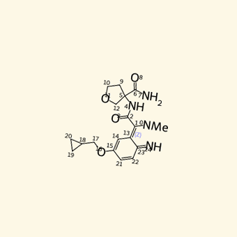 CN/C(C(=O)NC1(C(N)=O)CCOC1)=C1/C=C(OCC2CC2)C=CC1=N